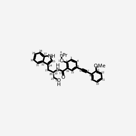 CCCOc1ccc(C#Cc2ccccc2OC)cc1C(=O)N[C@@H](CO)Cc1c[nH]c2ccccc12